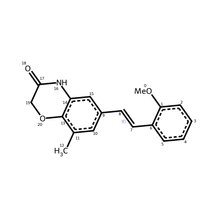 COc1ccccc1/C=C/c1cc(C)c2c(c1)NC(=O)CO2